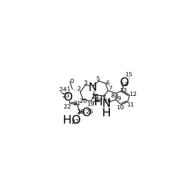 CC[C@@H]1CN2CCC3c4c(cccc4OC)NC3[C@@H]2C[C@@H]1/C(=C\OC)C(=O)O